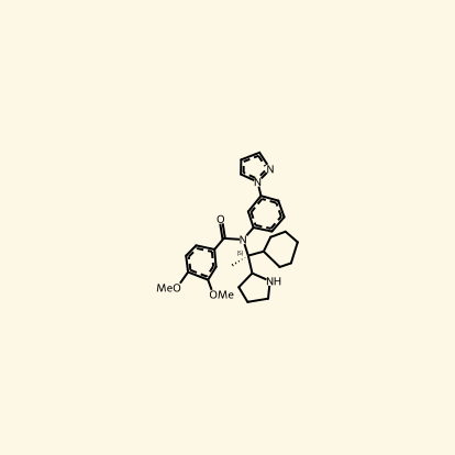 COc1ccc(C(=O)N(c2cccc(-n3cccn3)c2)[C@@](C)(C2CCCCC2)C2CCCN2)cc1OC